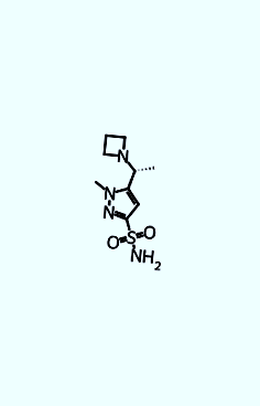 C[C@H](c1cc(S(N)(=O)=O)nn1C)N1CCC1